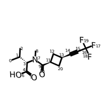 CC(C)[C@@H](C(=O)O)N(C)C(=O)[C@H]1C[C@@H](C#CC(F)(F)F)C1